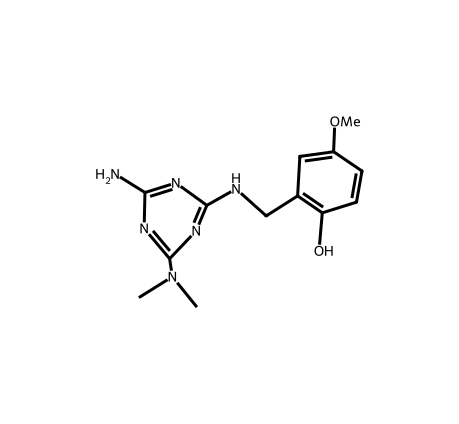 COc1ccc(O)c(CNc2nc(N)nc(N(C)C)n2)c1